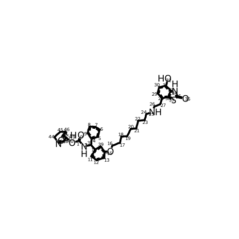 O=C(NC(c1ccccc1)c1cccc(OCCCCCCCCCNCCc2ccc(O)c3[nH]c(=O)sc23)c1)O[C@H]1CN2CCC1CC2